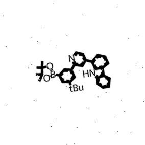 CC(C)(C)c1cc(B2OC(C)(C)C(C)(C)O2)cc(-c2cc(-c3cccc4c3[nH]c3ccccc34)ccn2)c1